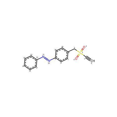 C#CS(=O)(=O)Cc1ccc(/N=N/c2ccccc2)cc1